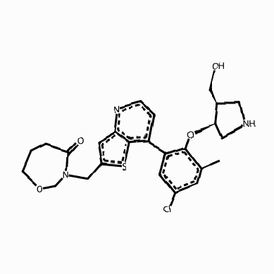 Cc1cc(Cl)cc(-c2ccnc3cc(CN4COCCCC4=O)sc23)c1O[C@@H]1CNC[C@@H]1CO